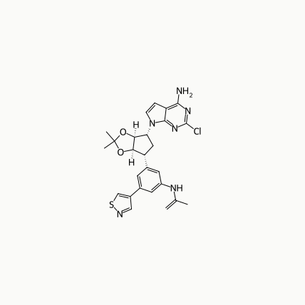 C=C(C)Nc1cc(-c2cnsc2)cc([C@H]2C[C@@H](n3ccc4c(N)nc(Cl)nc43)[C@@H]3OC(C)(C)O[C@@H]32)c1